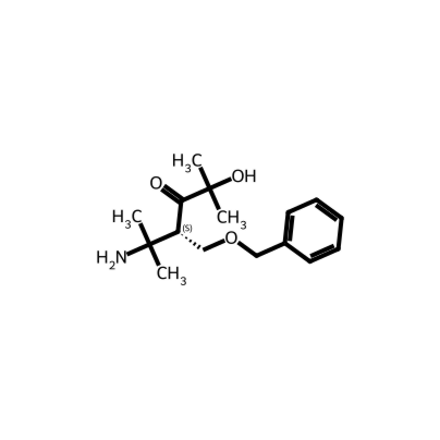 CC(C)(O)C(=O)[C@H](COCc1ccccc1)C(C)(C)N